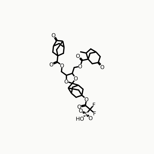 CC1CC2CC(=O)CC1(C(=O)OCC1OC3(OC1COC(=O)C14CC5CC(C1)C(C4)C5=O)C1CC4CC(OC(=O)C(F)(F)S(=O)(=O)O)(C1)CC43)C2